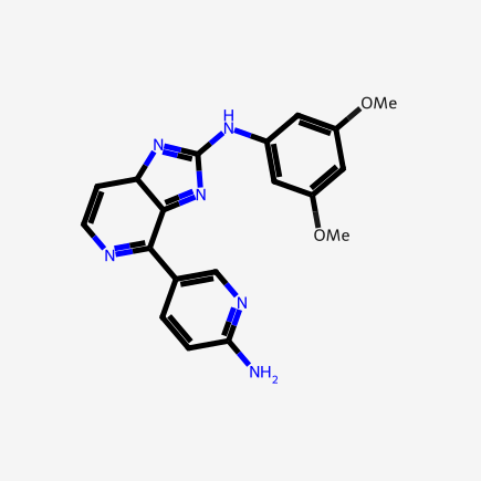 COc1cc(NC2=NC3C=CN=C(c4ccc(N)nc4)C3=N2)cc(OC)c1